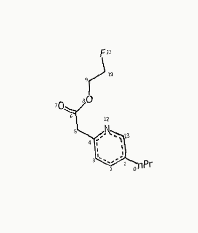 CCCc1ccc(CC(=O)OCCF)nc1